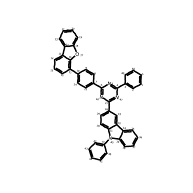 c1ccc(-c2nc(-c3ccc(-c4cccc5c4oc4ccccc45)cc3)nc(-c3ccc4c(c3)c3ccccc3n4-c3ccccc3)n2)cc1